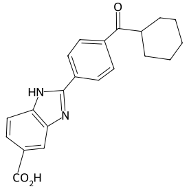 O=C(O)c1ccc2[nH]c(-c3ccc(C(=O)C4CCCCC4)cc3)nc2c1